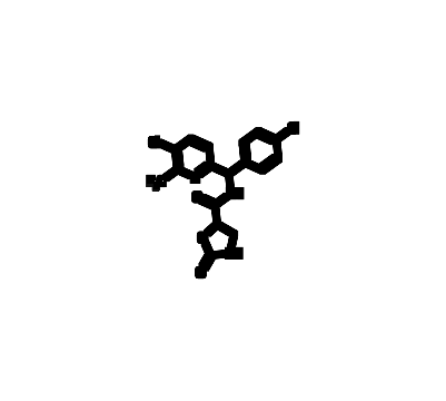 O=C1NCC(C(=O)NC(c2ccc(Cl)cc2)c2ccc(Cl)c(C(F)(F)F)n2)O1